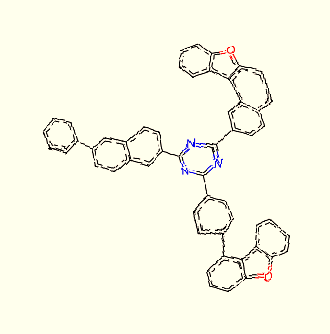 c1ccc(-c2ccc3cc(-c4nc(-c5ccc(-c6cccc7oc8ccccc8c67)cc5)nc(-c5ccc6ccc7oc8ccccc8c7c6c5)n4)ccc3c2)cc1